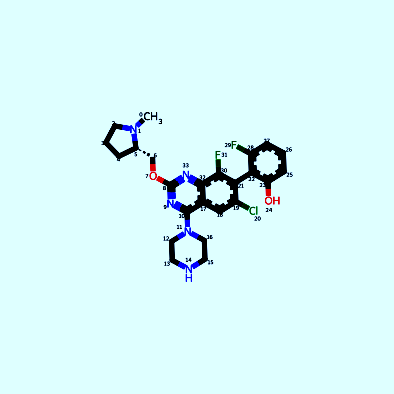 CN1CCC[C@H]1COc1nc(N2CCNCC2)c2cc(Cl)c(-c3c(O)cccc3F)c(F)c2n1